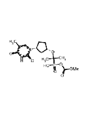 COC(=O)OP(=O)(O)C(C)(C)O[C@H]1CC[C@@H](n2cc(C)c(=O)[nH]c2=O)C1